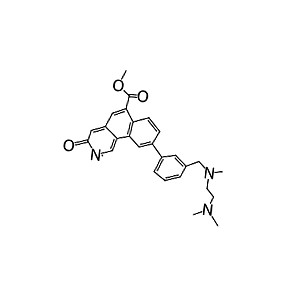 COC(=O)c1cc2c(c3cc(-c4cccc(CN(C)CCN(C)C)c4)ccc13)=C[N]C(=O)C=2